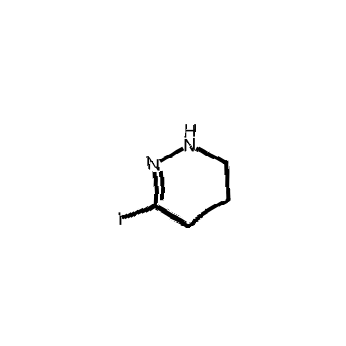 IC1=NNCCC1